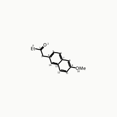 CCC(=O)Cc1ccc2cc(OC)ccc2c1